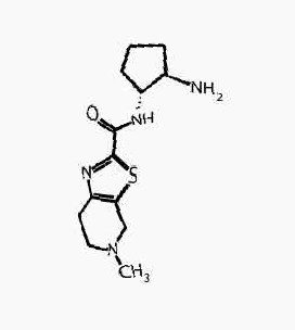 CN1CCc2nc(C(=O)N[C@@H]3CCC[C@H]3N)sc2C1